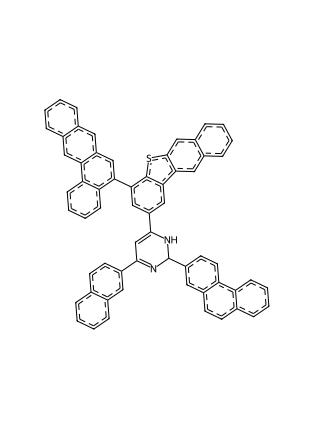 C1=C(c2cc(-c3cc4cc5ccccc5cc4c4ccccc34)c3sc4cc5ccccc5cc4c3c2)NC(c2ccc3c(ccc4ccccc43)c2)N=C1c1ccc2ccccc2c1